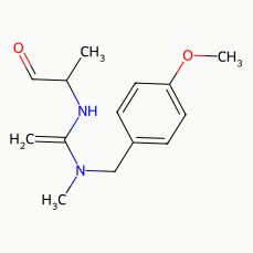 C=C(NC(C)C=O)N(C)Cc1ccc(OC)cc1